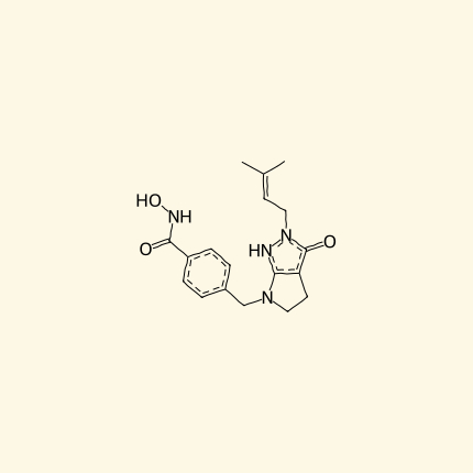 CC(C)=CCn1[nH]c2c(c1=O)CCN2Cc1ccc(C(=O)NO)cc1